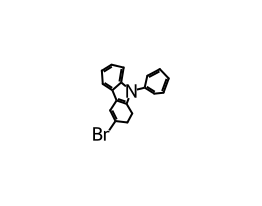 BrC1=Cc2c(n(-c3ccccc3)c3ccccc23)CC1